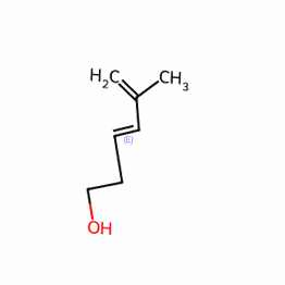 C=C(C)/C=C/CCO